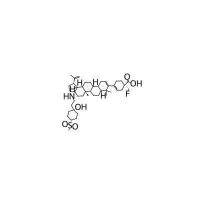 C=C(C)[C@@H]1CC[C@]2(NCC[C@]3(O)CC[C@@H](S(C)(=O)=O)CC3)CC[C@]3(C)[C@H](CC[C@@H]4[C@@]5(C)CC=C(C6=CC[C@](CF)(C(=O)O)CC6)C(C)(C)[C@@H]5CC[C@]43C)[C@@H]12